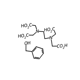 O=C(O)CN(CCN(CC(=O)O)CC(=O)O)CC(=O)O.OCc1ccccc1